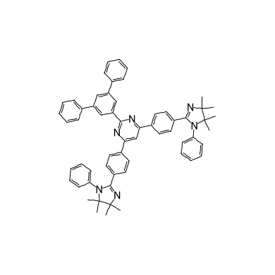 CC1(C)N=C(c2ccc(-c3cc(-c4ccc(C5=NC(C)(C)C(C)(C)N5c5ccccc5)cc4)nc(-c4cc(-c5ccccc5)cc(-c5ccccc5)c4)n3)cc2)N(c2ccccc2)C1(C)C